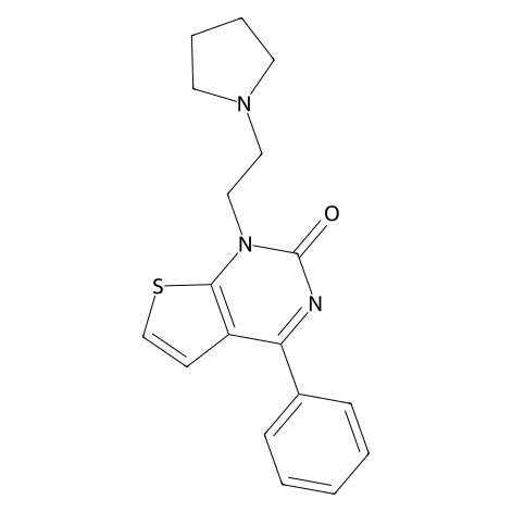 O=c1nc(-c2ccccc2)c2ccsc2n1CCN1CCCC1